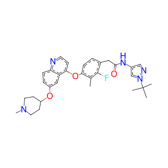 Cc1c(Oc2ccnc3ccc(OC4CCN(C)CC4)cc23)ccc(CC(=O)Nc2cnn(C(C)(C)C)c2)c1F